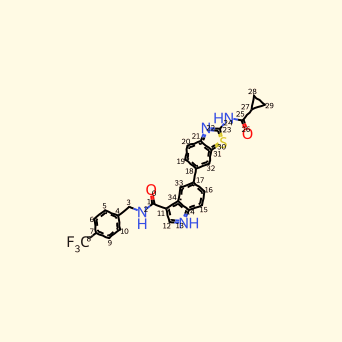 O=C(NCc1ccc(C(F)(F)F)cc1)c1c[nH]c2ccc(-c3ccc4nc(NC(=O)C5CC5)sc4c3)cc12